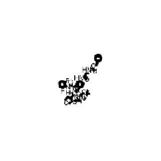 C[C@@H](C(=O)NC(CN1Cc2ccc(NC(=O)CCNC(=O)OCc3ccccc3)cc2[C@H]1C(=O)Nc1c(F)cccc1F)C1CCOCC1)N(C)C(=O)OC(C)(C)C